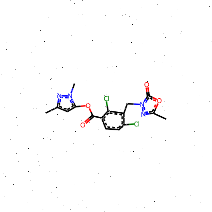 Cc1cc(OC(=O)c2ccc(Cl)c(Cn3nc(C)oc3=O)c2Cl)n(C)n1